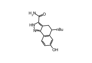 CCCCC1Cc2c(n[nH]c2C(N)=O)-c2ccc(O)cc21